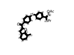 CCC/C(=N/OC(C)=O)c1ccc(Sc2ccc(C(=O)c3cc4cccc(C)c4o3)cc2)cc1